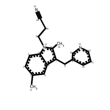 Cc1ccc2c(c1)c(Cc1cccnc1)c(C)n2CCC#N